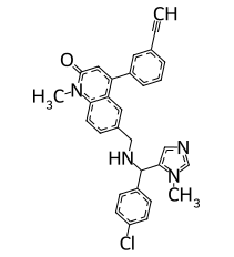 C#Cc1cccc(-c2cc(=O)n(C)c3ccc(CNC(c4ccc(Cl)cc4)c4cncn4C)cc23)c1